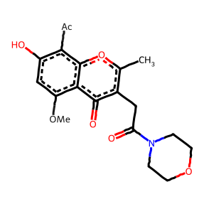 COc1cc(O)c(C(C)=O)c2oc(C)c(CC(=O)N3CCOCC3)c(=O)c12